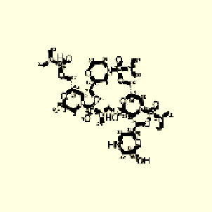 C[C@H]1CN(P(=O)(OC[C@@H]2CN(P(=O)(OC[C@@H]3CN(P(=O)(OC[C@@H]4CNC[C@H](O)O4)N(C)C)C[C@H](O)O3)N(C)C)CCO2)N(C)C)C[C@@H](CO[PH](=O)N(C)C)O1